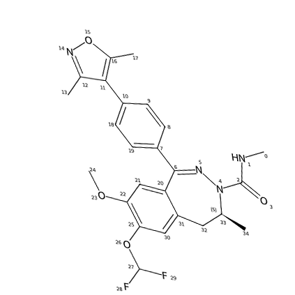 CNC(=O)N1N=C(c2ccc(-c3c(C)noc3C)cc2)c2cc(OC)c(OC(F)F)cc2C[C@@H]1C